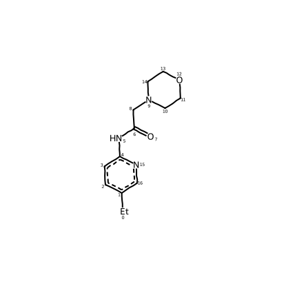 CCc1ccc(NC(=O)CN2CCOCC2)nc1